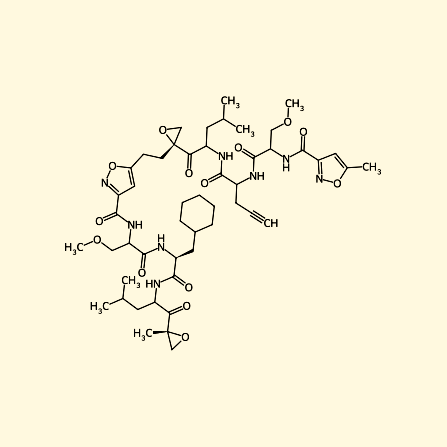 C#CCC(NC(=O)C(COC)NC(=O)c1cc(C)on1)C(=O)NC(CC(C)C)C(=O)[C@@]1(CCc2cc(C(=O)NC(COC)C(=O)N[C@@H](CC3CCCCC3)C(=O)NC(CC(C)C)C(=O)[C@@]3(C)CO3)no2)CO1